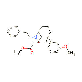 COC(=O)CCC1C2CCCC1(c1cccc(OC)c1)CCN2CCc1ccccc1